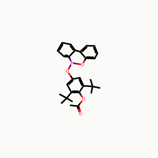 CC(=O)Oc1c(C(C)(C)C)cc(OP2Oc3ccccc3-c3ccccc32)cc1C(C)(C)C